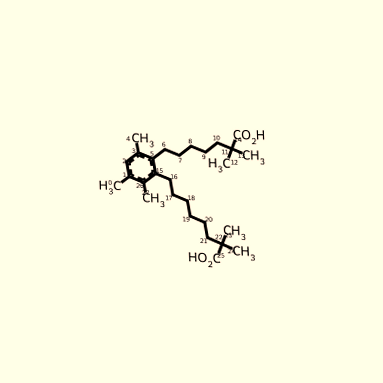 Cc1cc(C)c(CCCCCC(C)(C)C(=O)O)c(CCCCCCC(C)(C)C(=O)O)c1C